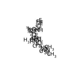 Cc1nc(C)c(C(=O)NCc2ccc(Cl)c(Nc3nc4cc(C(=O)N[C@H]5CC[C@H](C(F)(F)F)CC5)c(N5CC6CC6C5)cc4n3C)c2Cl)s1